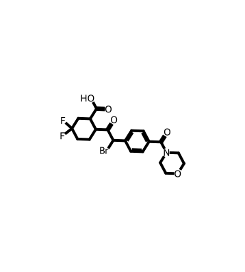 O=C(O)C1CC(F)(F)CCC1C(=O)C(Br)c1ccc(C(=O)N2CCOCC2)cc1